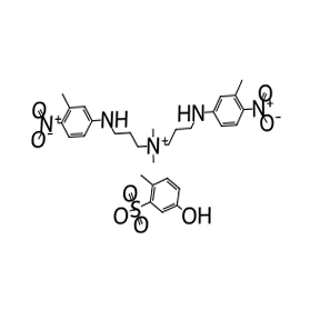 Cc1cc(NCCC[N+](C)(C)CCCNc2ccc([N+](=O)[O-])c(C)c2)ccc1[N+](=O)[O-].Cc1ccc(O)cc1S(=O)(=O)[O-]